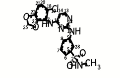 CNS(=O)(=O)c1cccc(Nc2nccc(Nc3c(Cl)ccc4c3OCO4)n2)c1